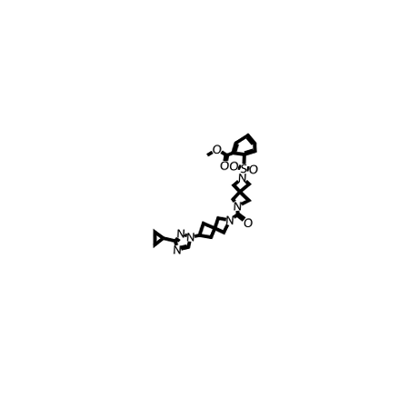 COC(=O)c1ccccc1S(=O)(=O)N1CC2(CN(C(=O)N3CC4(CC(n5cnc(C6CC6)n5)C4)C3)C2)C1